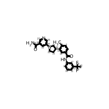 Cc1ccc(C(=O)Nc2cccc(C(F)(F)F)c2)cc1[C@H]1CCN(c2cncc(C(N)=O)c2)C1